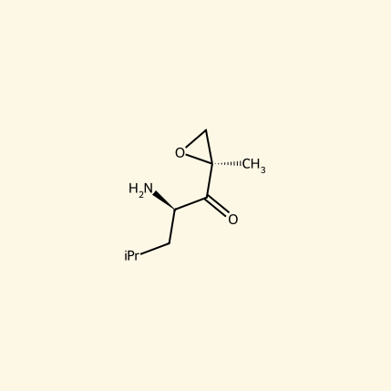 CC(C)C[C@@H](N)C(=O)[C@]1(C)CO1